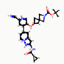 CC(C)(C)OC(=O)N1CC2(CC(Oc3cnc(C#N)cc3-c3ccn4nc(NC(=O)C5CC5)cc4c3)C2)C1